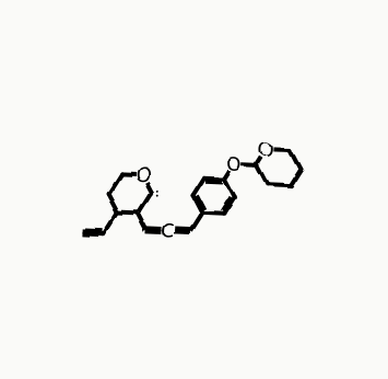 C=CC1CCO[C]C1C=C=Cc1ccc(OC2CCCCO2)cc1